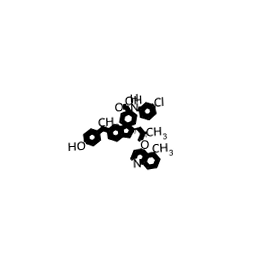 C[C@@H](COc1ccnc2c1[C@H](C)CCC2)C[C@H]1Cc2ccc([C@H](C)c3ccc(O)cc3)cc2C12CCC(Nc1cccc(Cl)c1)(C(=O)O)CC2